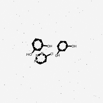 Clc1ccnnn1.Oc1cccc(O)c1.Oc1cccc(O)c1